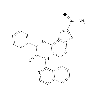 N=C(N)c1cc2c(OC(C(=O)Nc3nccc4ccccc34)c3ccccc3)cccc2s1